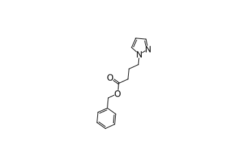 O=C(CCCn1cccn1)OCc1ccccc1